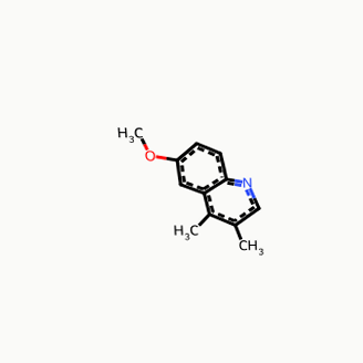 COc1ccc2ncc(C)c(C)c2c1